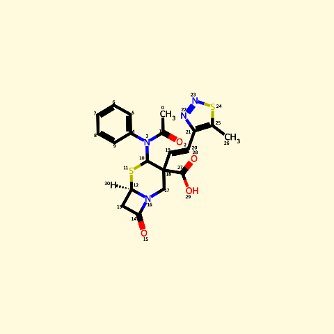 CC(=O)N(c1ccccc1)C1S[C@@H]2CC(=O)N2CC1(C=Cc1nnsc1C)C(=O)O